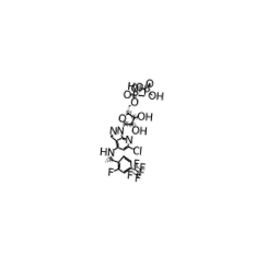 C[C@H](Nc1cc(Cl)nc2c1cnn2[C@@H]1O[C@H](COP(=O)(O)CP(=O)(O)O)[C@@H](O)[C@H]1O)c1ccc(S(F)(F)(F)(F)F)cc1F